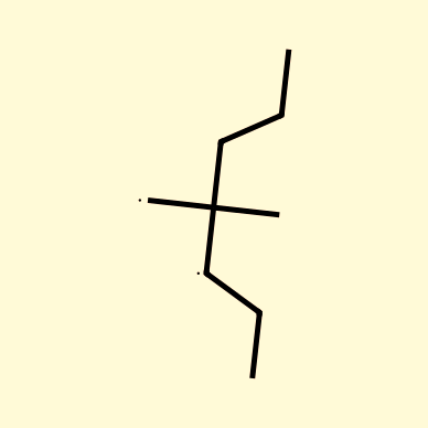 [CH2]C(C)([CH]CC)CCC